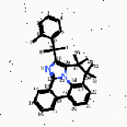 Cc1ccccc1C(C)(C)c1nc2c3ccccc3c3cccc4c3n2c1C(C)(C)C4(C)C